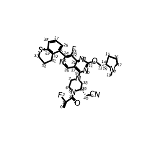 C=C(F)C(=O)N1CCN(c2nc(OC[C@@H]3CCCN3C)nc3c(F)c(-c4cccc5c4CCCS5)ncc23)C[C@@H]1CC#N